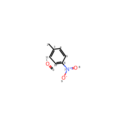 C=O.Cc1ccc([N+](=O)[O-])cc1